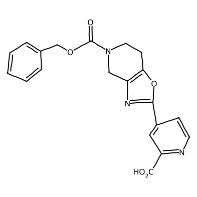 O=C(O)c1cc(-c2nc3c(o2)CCN(C(=O)OCc2ccccc2)C3)ccn1